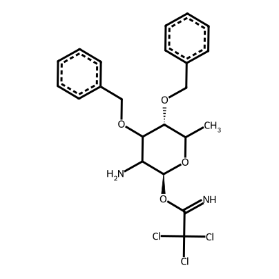 CC1O[C@@H](OC(=N)C(Cl)(Cl)Cl)C(N)C(OCc2ccccc2)[C@@H]1OCc1ccccc1